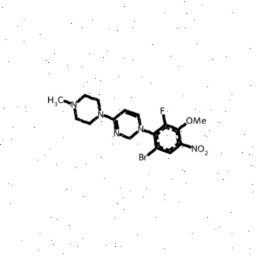 COc1c([N+](=O)[O-])cc(Br)c(N2C=CC(N3CCN(C)CC3)=NC2)c1F